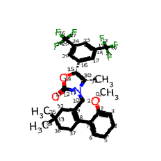 COC1=CC[CH]C=C1C1=C(CN2C(=O)O[C@H](c3cc(C(F)(F)F)cc(C(F)(F)F)c3)[C@@H]2C)CC(C)(C)CC1